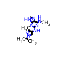 CNc1nc(Nc2cn(C(C)C)nc2C)nc2[nH]cnc12